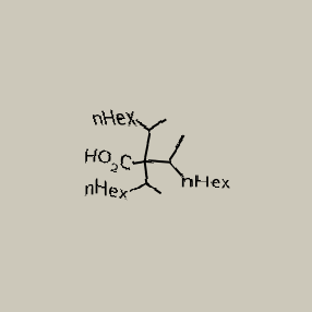 CCCCCCC(C)C(C(=O)O)(C(C)CCCCCC)C(C)CCCCCC